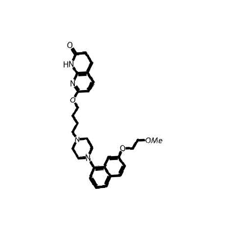 COCCOc1ccc2cccc(N3CCN(CCCCOc4ccc5c(n4)NC(=O)CC5)CC3)c2c1